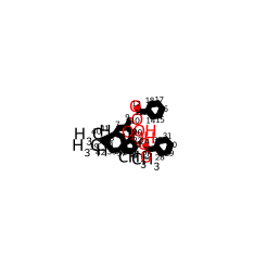 CC1=CC23C(=O)C(C=C(COC(=O)c4ccccc4)[C@@H](O)[C@]2(O)C1OC(=O)c1ccccc1)[C@H]1[C@@H](CC3C)C1(C)C